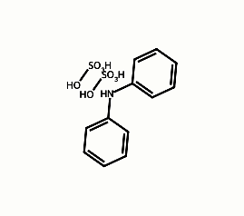 O=S(=O)(O)O.O=S(=O)(O)O.c1ccc(Nc2ccccc2)cc1